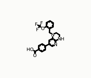 O=C(O)c1ccc(-c2cnc3c(c2)N(Cc2ccccc2OC(F)(F)F)CCN3)cc1